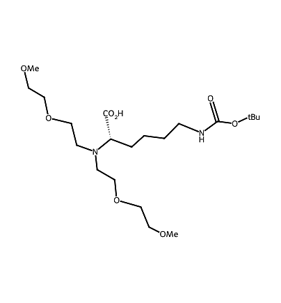 COCCOCCN(CCOCCOC)[C@@H](CCCCNC(=O)OC(C)(C)C)C(=O)O